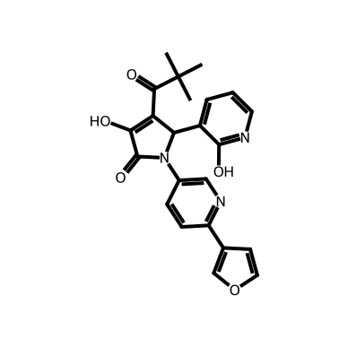 CC(C)(C)C(=O)C1=C(O)C(=O)N(c2ccc(-c3ccoc3)nc2)C1c1cccnc1O